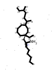 CCCCC/C=C(\N)C[C@@]1(CC)CCCCC(C(C)CCC(C)CC)CC1